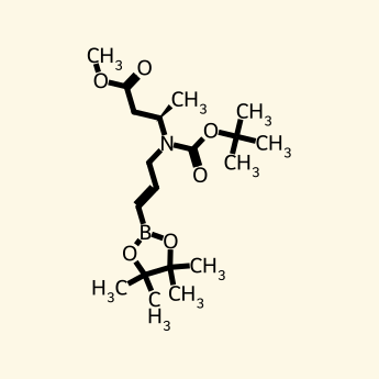 COC(=O)C[C@@H](C)N(C/C=C/B1OC(C)(C)C(C)(C)O1)C(=O)OC(C)(C)C